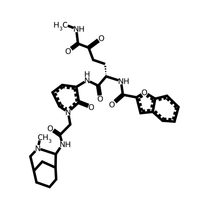 CNC(=O)C(=O)CC[C@H](NC(=O)c1cc2ccccc2o1)C(=O)Nc1cccn(CC(=O)NC2C3CCCC(C3)CN2C)c1=O